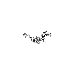 CC(C)(C)C(=O)SCCOP1(=O)OC[C@H]2O[C@@H](n3cnc4c(N)ncnc43)[C@](C)(Cl)[C@@H]2O1